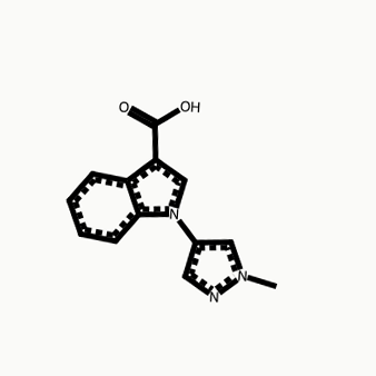 Cn1cc(-n2cc(C(=O)O)c3ccccc32)cn1